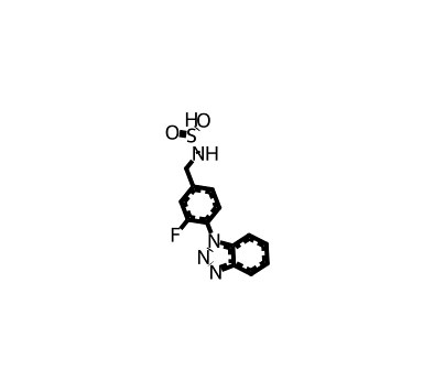 O=[SH](=O)NCc1ccc(-n2nnc3ccccc32)c(F)c1